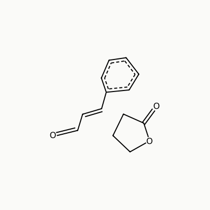 O=C1CCCO1.O=CC=Cc1ccccc1